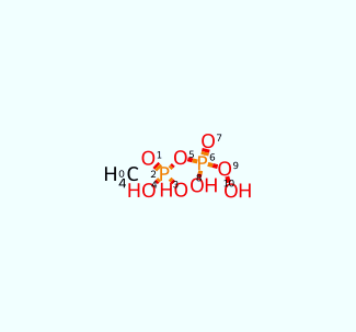 C.O=P(O)(O)OP(=O)(O)OO